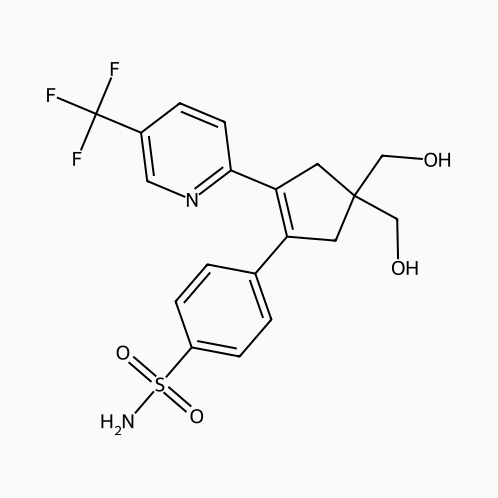 NS(=O)(=O)c1ccc(C2=C(c3ccc(C(F)(F)F)cn3)CC(CO)(CO)C2)cc1